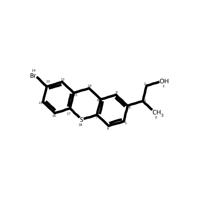 CC(CO)c1ccc2c(c1)Cc1cc(Br)ccc1S2